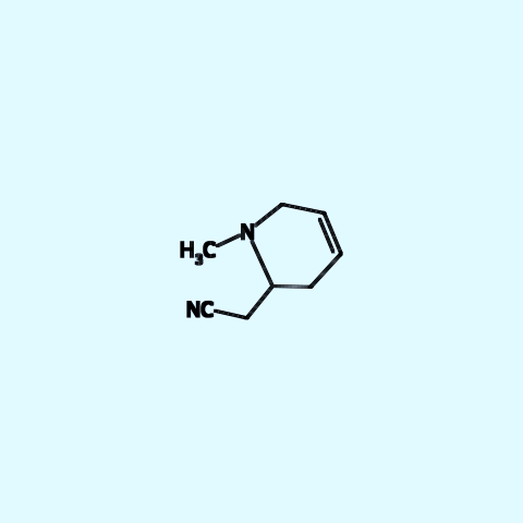 CN1CC=CCC1CC#N